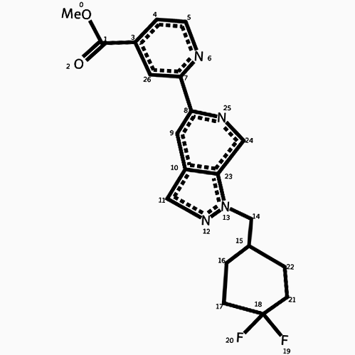 COC(=O)c1ccnc(-c2cc3cnn(CC4CCC(F)(F)CC4)c3cn2)c1